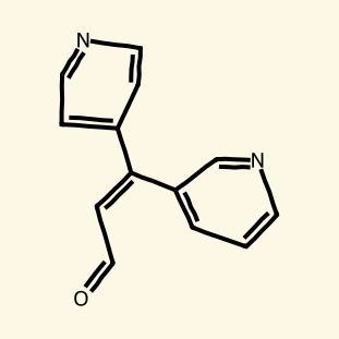 O=CC=C(c1ccncc1)c1cccnc1